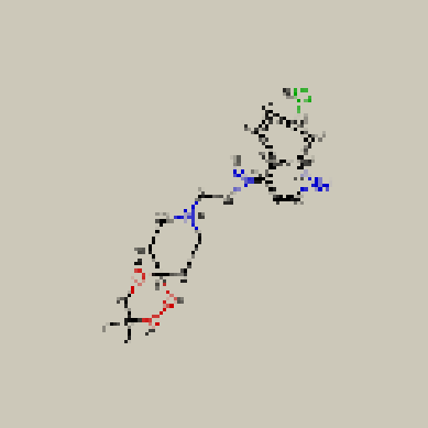 CC1(C)COC2(CCN(CC/N=c3\cc[nH]c4cc(Cl)ccc34)CC2)OO1